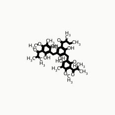 CCC(C)C(=O)c1c(O)c(Cc2c(O)c(C)c(OC)c(C(=O)C(C)C)c2O)c(O)c(Cc2c(O)c(C)c(OC)c(C(=O)C(C)C)c2O)c1O